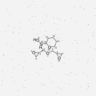 C(OCC1CO1)C1CO1.O[SiH2]C1CCCCO1